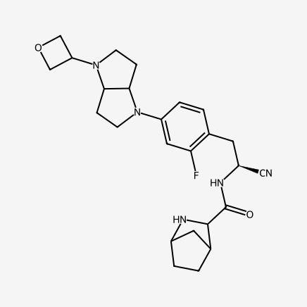 N#C[C@H](Cc1ccc(N2CCC3C2CCN3C2COC2)cc1F)NC(=O)C1NC2CCC1C2